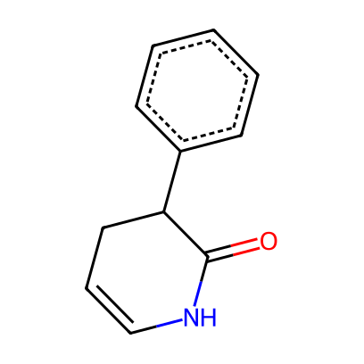 O=C1NC=CCC1c1ccccc1